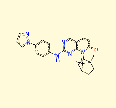 CC1(C)C2CCC1(C)C(n1c(=O)ccc3cnc(Nc4ccc(-n5cccn5)cc4)nc31)C2